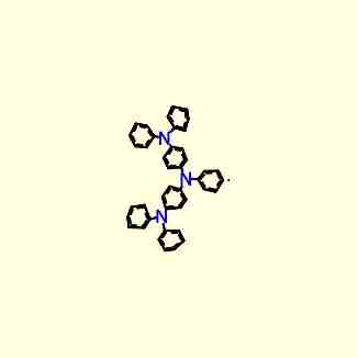 [c]1ccc(N(c2ccc(N(c3ccccc3)c3ccccc3)cc2)c2ccc(N(c3ccccc3)c3ccccc3)cc2)cc1